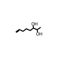 C=CCCCC(O)C(C)O